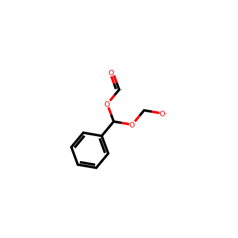 [O]COC(O[C]=O)c1ccccc1